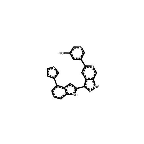 Oc1cncc(-c2cc3c(-c4cc5c(-c6ccsc6)cncc5[nH]4)n[nH]c3cn2)c1